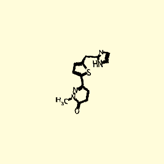 CN1N=C(c2ccc(Cc3ncc[nH]3)s2)CCC1=O